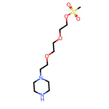 CS(=O)(=O)OCCOCCOCCN1CCNCC1